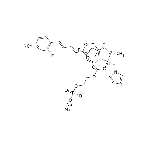 C[C@@H](SC1COC(C=CC=Cc2ccc(C#N)cc2F)OC1)[C@@](Cn1cncn1)(OC(=O)OCCOP(=O)([O-])[O-])c1ccc(F)cc1F.[Na+].[Na+]